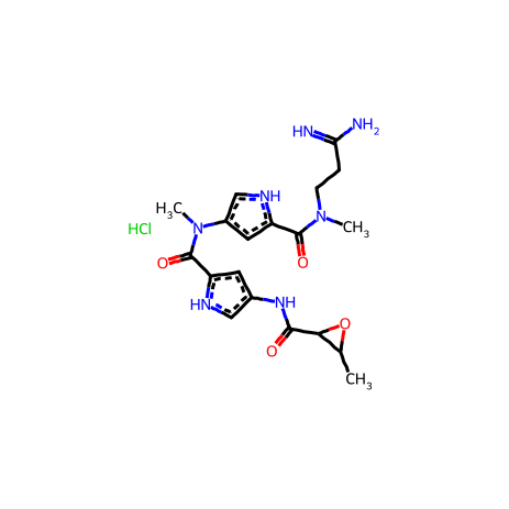 CC1OC1C(=O)Nc1c[nH]c(C(=O)N(C)c2c[nH]c(C(=O)N(C)CCC(=N)N)c2)c1.Cl